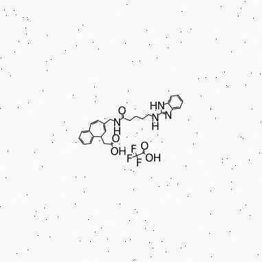 O=C(O)C(F)(F)F.O=C(O)CC1C=C(CNC(=O)CCCCNc2nc3ccccc3[nH]2)C=Cc2ccccc21